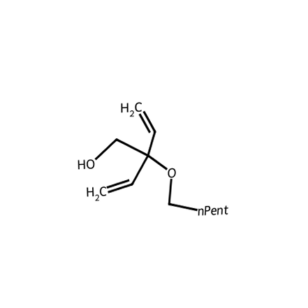 C=CC(C=C)(CO)OCCCCCC